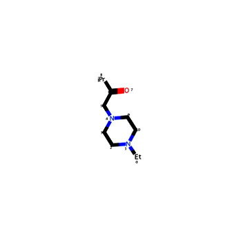 CCN1CCN(CC(=O)C(C)C)CC1